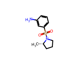 C[C@H]1CCCN1S(=O)(=O)c1cccc(N)c1